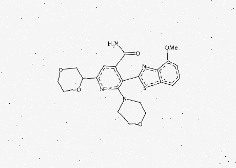 COc1cccc2sc(-c3c(C(N)=O)cc(C4COCCO4)nc3N3CCOCC3)nc12